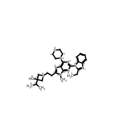 CCc1nc2ccccc2n1-c1nc(N2CCOCC2)c2nc(CCN3CC(O)(C(C)C)C3)n(C)c2n1